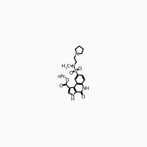 CCCOC(=O)c1c[nH]c2c(=O)[nH]c3ccc(S(=O)(=O)N(C)CCN4CCCC4)cc3c12